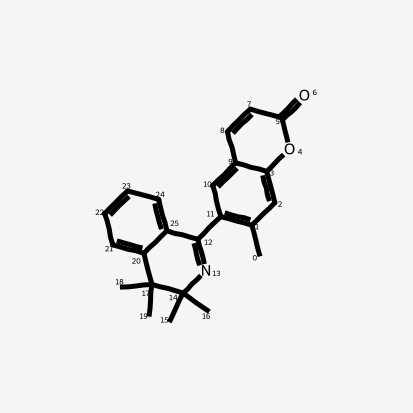 Cc1cc2oc(=O)ccc2cc1C1=NC(C)(C)C(C)(C)c2ccccc21